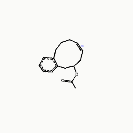 CC(=O)OC1C/C=C\C[CH]Cc2ccccc2C1